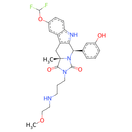 COCCNCCCN1C(=O)N2[C@H](c3cccc(O)c3)c3[nH]c4ccc(OC(F)F)cc4c3C[C@@]2(C)C1=O